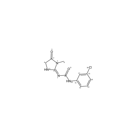 CN1C(=O)CNC1=NC(=O)Nc1cccc(Cl)c1